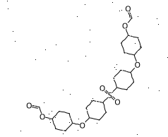 O=COC1CCC(OC2CCC(S(=O)(=O)C3CCC(OC4CCC(OC=O)CC4)CC3)CC2)CC1